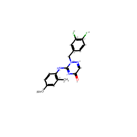 COc1ccc(Nc2nc(=O)cnn2Cc2ccc(F)c(F)c2)c(C)c1